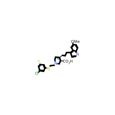 COc1ccc2nccc(CCC[C@@H]3CCN(CCSc4cc(F)cc(Cl)c4)C[C@@H]3C(=O)O)c2c1